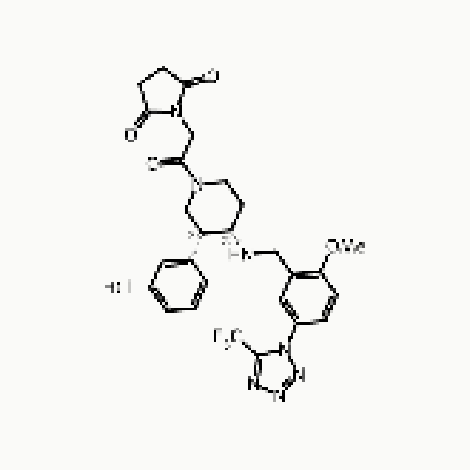 COc1ccc(-n2nnnc2C(F)(F)F)cc1CN[C@H]1CCN(C(=O)CN2C(=O)CCC2=O)C[C@H]1c1ccccc1.Cl